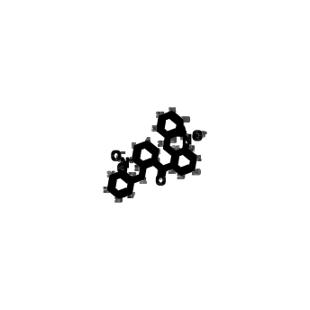 O=C(c1cccc([N+](=O)[O-])c1Cc1ccccc1)c1cccc([N+](=O)[O-])c1Cc1ccccc1